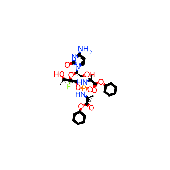 C[C@H](NP(=O)(N[C@@H](C)C(=O)OC1CCCCC1)OC[C@@](F)(O[C@H](CO)n1ccc(N)nc1=O)[C@H](C)O)C(=O)OC1CCCCC1